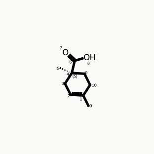 CC1=CC[C@@](C)(C(=O)O)CC1